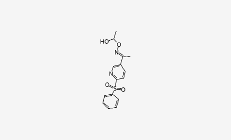 CC(=NOC(C)O)c1ccc(S(=O)(=O)c2ccccc2)nc1